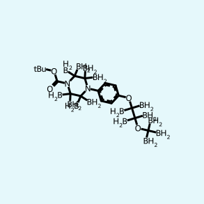 BC(B)(B)OC(B)(B)C(B)(B)Oc1ccc(N2C(B)(B)C(B)(B)N(C(=O)OC(C)(C)C)C(B)(B)C2(B)B)cc1